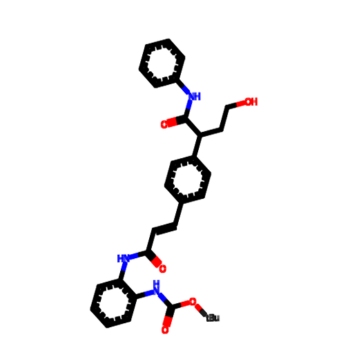 CC(C)(C)OC(=O)Nc1ccccc1NC(=O)/C=C/c1ccc(C(CCO)C(=O)Nc2ccccc2)cc1